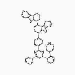 c1ccc(-c2cc(-c3ccccc3-c3ccncc3)nc(-c3ccc(-c4ccc(-c5cccc6c5sc5ccccc56)c5c4oc4ccccc45)cc3)n2)cc1